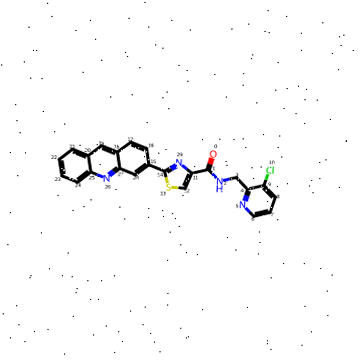 O=C(NCc1ncccc1Cl)c1csc(-c2ccc3cc4ccccc4nc3c2)n1